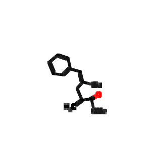 C=C(CC(=Cc1ccccc1)C(C)(C)C)C(=O)OC